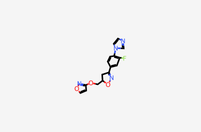 Fc1cc(C2=NOC(COc3ccon3)C2)ccc1-n1ccnc1